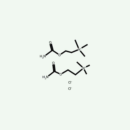 C[N+](C)(C)CCOC(N)=O.C[N+](C)(C)CCOC(N)=O.[Cl-].[Cl-]